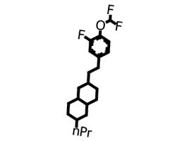 CCCC1CCC2CC(CCc3ccc(OC(F)F)c(F)c3)CCC2C1